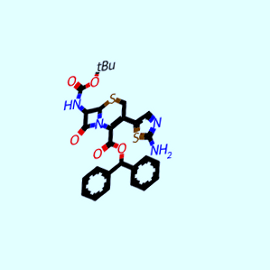 CC(C)(C)OC(=O)NC1C(=O)N2C(C(=O)OC(c3ccccc3)c3ccccc3)=C(c3cnc(N)s3)CSC12